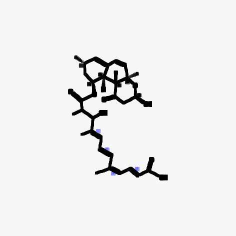 CC(=C/C=C/C(=O)O)/C=C/C=C(\C)C(O)C(C)C(=O)O[C@H]1C[C@H](C)C=C2C=C[C@@]3(C)O[C@@H](O)CC(=O)[C@]3(C)[C@H]21